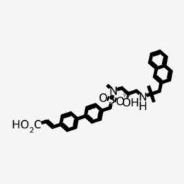 CN(C[C@H](O)CNC(C)(C)Cc1ccc2ccccc2c1)S(=O)(=O)Cc1ccc(-c2ccc(C=CC(=O)O)cc2)cc1